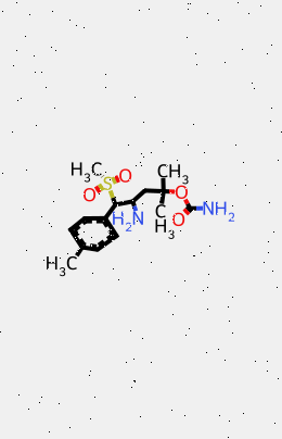 Cc1ccc(C(C(N)CC(C)(C)OC(N)=O)S(C)(=O)=O)cc1